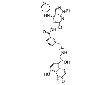 CCc1nc2c(cnn2CC)c(NC2CCOCC2)c1CNC(=O)c1cccc(CC(C)(C)NCC(O)c2ccc(O)c3[nH]c(=O)ccc23)c1